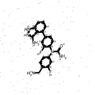 NCc1ccc(N(C(N)=O)c2ccc(-c3cccc4[nH]nc(N)c34)cc2F)cc1F